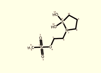 CS(=O)(=O)OCCN1CCCS1(O)O